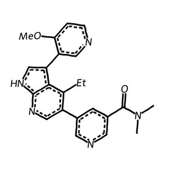 CCc1c(-c2cncc(C(=O)N(C)C)c2)cnc2[nH]cc(-c3cnccc3OC)c12